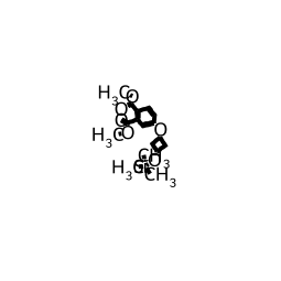 COC(=O)c1ccc(OC2CC(O[Si](C)(C)C)C2)cc1C(=O)OC